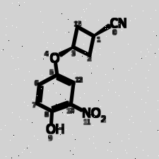 N#C[C@H]1C[C@@H](Oc2ccc(O)c([N+](=O)[O-])c2)C1